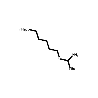 CCCCCCCCCCCCOC(N)CCCC